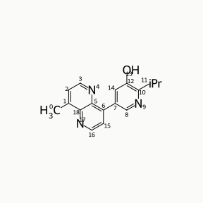 Cc1ccnc2c(-c3cnc(C(C)C)c(O)c3)ccnc12